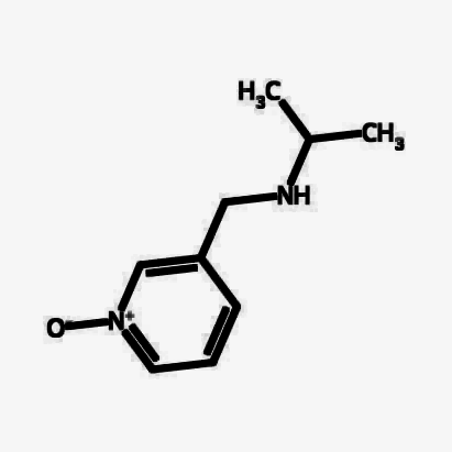 CC(C)NCc1ccc[n+]([O-])c1